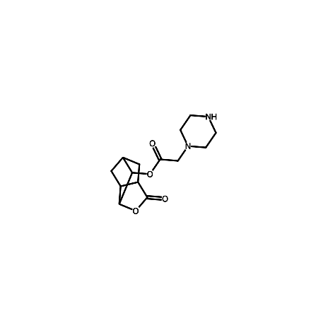 O=C(CN1CCNCC1)OC1C2CC3C(=O)OC1C3C2